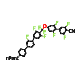 CCCCCc1ccc(-c2ccc(-c3cc(F)c(C(F)(F)Oc4cc(F)c(-c5cc(F)c(C#N)c(F)c5)c(F)c4)c(F)c3)c(F)c2)cc1